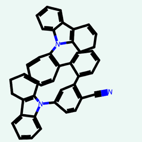 N#Cc1ccc(-n2c3c(c4ccccc42)CCC=C3)cc1-c1ccccc1C1=C(n2c3c(c4ccccc42)C=CCC3)C=CCC=C1